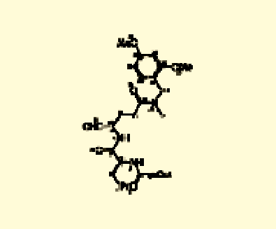 CCCCCCCCC(=O)N[C@@H](CC(C)C)C(=O)N[C@H](C=O)CCC(=O)N(C)Cc1ccc(OC)cc1OC